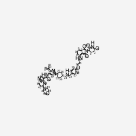 O=C1CCC(N2C(=O)c3cccc(NCCCOc4ccc(CNC[C@H]5CC[C@H](n6cc(NC(=O)c7cnn8ccc(N9CCOCC9)nc78)c(C(F)F)n6)CC5)cn4)c3C2=O)C(=O)N1